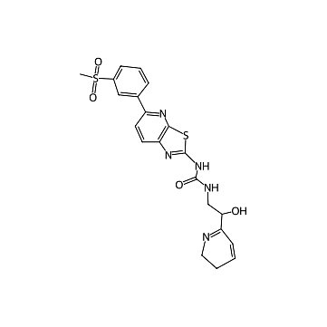 CS(=O)(=O)c1cccc(-c2ccc3nc(NC(=O)NCC(O)C4=NCCC=C4)sc3n2)c1